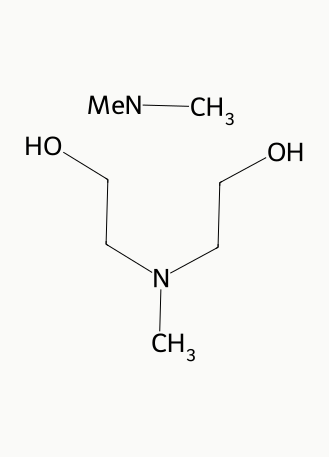 CN(CCO)CCO.CNC